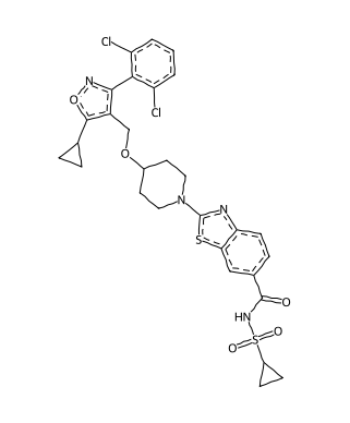 O=C(NS(=O)(=O)C1CC1)c1ccc2nc(N3CCC(OCc4c(-c5c(Cl)cccc5Cl)noc4C4CC4)CC3)sc2c1